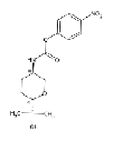 CC(C)(O)[C@@H]1CC[C@@H](NC(=O)Oc2ccc([N+](=O)[O-])cc2)CO1